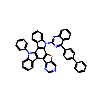 c1ccc(-c2ccc(-c3nc(-n4c5ccccc5c5c4c4sc6cncnc6c4c4c6ccccc6n(-c6ccccc6)c45)nc4ccccc34)cc2)cc1